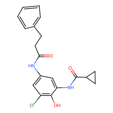 O=C(CCc1ccccc1)Nc1cc(Cl)c(O)c(NC(=O)C2CC2)c1